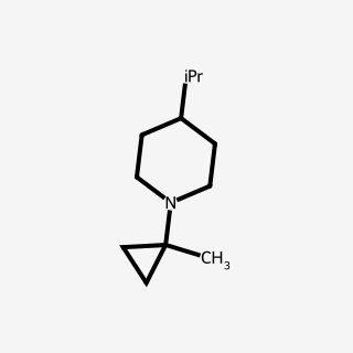 CC(C)C1CCN(C2(C)CC2)CC1